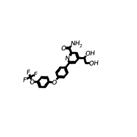 NC(=O)c1cc(C(O)CO)cc(-c2ccc(Oc3ccc(OC(F)(F)F)cc3)cc2)n1